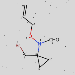 C=CCON(C=O)C1(CBr)CC1